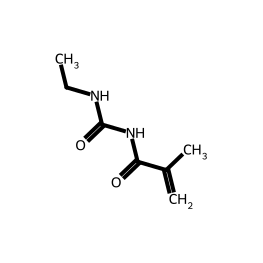 C=C(C)C(=O)NC(=O)NCC